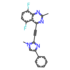 Cc1nc(C#Cc2nc(-c3ccccc3)cn2C)c2c(F)ccc(F)c2n1